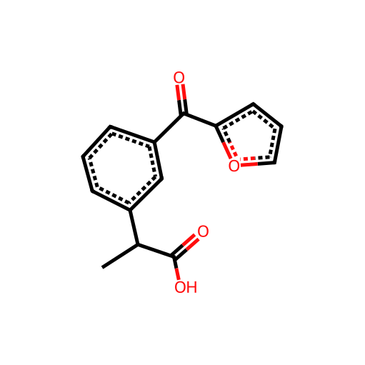 CC(C(=O)O)c1cccc(C(=O)c2ccco2)c1